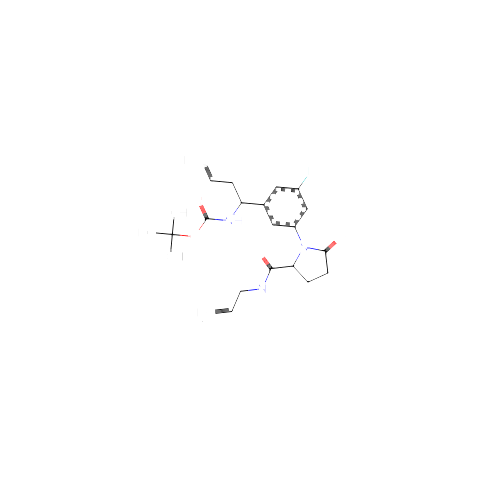 C=CCNC(=O)C1CCC(=O)N1c1cc(F)cc(C(CC=C)NC(=O)OC(C)(C)C)c1